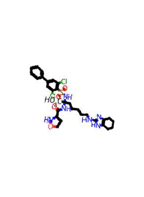 O=C(NC(CCCCCNc1nc2c([nH]1)CCCC2)(NS(=O)(=O)c1c(Cl)cc(-c2ccccc2)cc1Cl)C(=O)O)C1CCON1